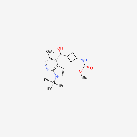 COc1cnc2c(ccn2[Si](C(C)C)(C(C)C)C(C)C)c1C(O)C1CC(NC(=O)OC(C)(C)C)C1